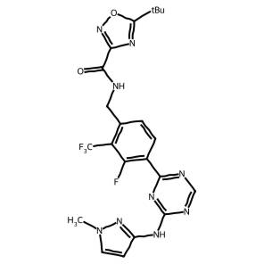 Cn1ccc(Nc2ncnc(-c3ccc(CNC(=O)c4noc(C(C)(C)C)n4)c(C(F)(F)F)c3F)n2)n1